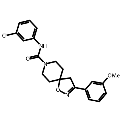 COc1cccc(C2=NOC3(CCN(C(=O)Nc4cccc(Cl)c4)CC3)C2)c1